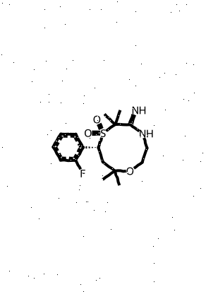 CC1(C)C[C@H](c2ccccc2F)S(=O)(=O)C(C)(C)C(=N)NCCO1